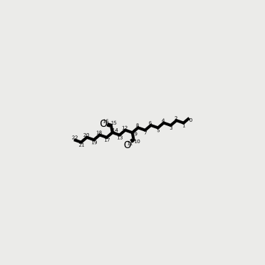 CCCCCCCCCC(C=O)CCC(C=O)CCCCCC